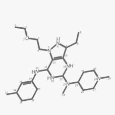 CCOCCN1NC(CC)C2=C1C(NC1=CC(C)CCC1)NC(N(C)C1CCN(C)CC1)N2